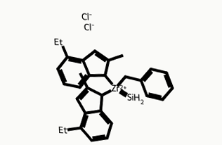 CCc1cccc2c1C=C(C)[CH]2[Zr+2](=[SiH2])([CH2]c1ccccc1)[CH]1C(C)=Cc2c(CC)cccc21.[Cl-].[Cl-]